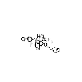 COc1cc2c(Nc3ccc(Cl)cc3F)ccnc2cc1OCCCN1CCOCC1.Cl